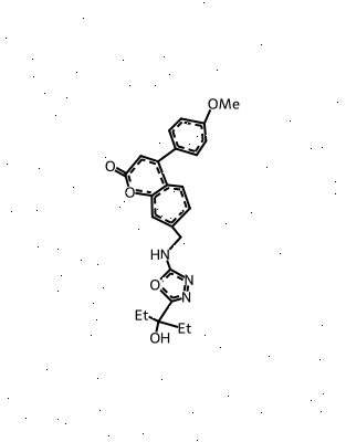 CCC(O)(CC)c1nnc(NCc2ccc3c(-c4ccc(OC)cc4)cc(=O)oc3c2)o1